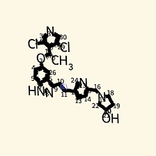 C[C@@H](Oc1ccc2[nH]nc(/C=C/c3ccc(CN4CC[C@H](O)C4)nc3)c2c1)c1c(Cl)cncc1Cl